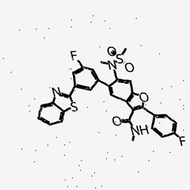 CNC(=O)c1c(-c2ccc(F)cc2)oc2cc(N(C)S(C)(=O)=O)c(-c3cc(F)cc(-c4nc5ccccc5s4)c3)cc12